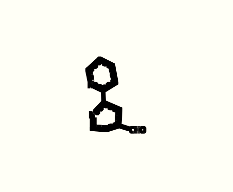 O=Cc1ccnc(-c2ccccn2)c1